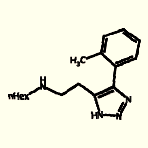 CCCCCCNCCc1[nH]nnc1-c1ccccc1C